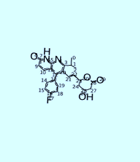 CC(C)c1nc2[nH]c(=O)ccc2c(-c2ccc(F)cc2)c1C=C[C@@H]1C[C@@H](O)CC(=O)O1